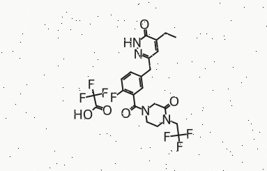 CCc1cc(Cc2ccc(F)c(C(=O)N3CCN(CC(F)(F)F)C(=O)C3)c2)n[nH]c1=O.O=C(O)C(F)(F)F